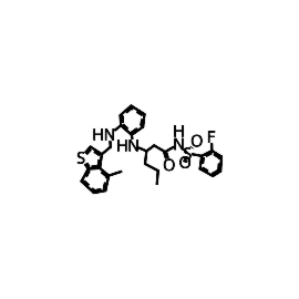 CCCC(CC(=O)NS(=O)(=O)c1ccccc1F)Nc1ccccc1NCc1csc2cccc(C)c12